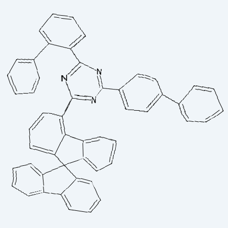 c1ccc(-c2ccc(-c3nc(-c4ccccc4-c4ccccc4)nc(-c4cccc5c4-c4ccccc4C54c5ccccc5-c5ccccc54)n3)cc2)cc1